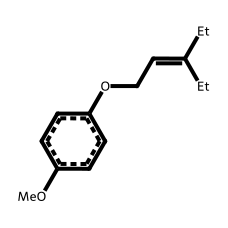 CCC(=CCOc1ccc(OC)cc1)CC